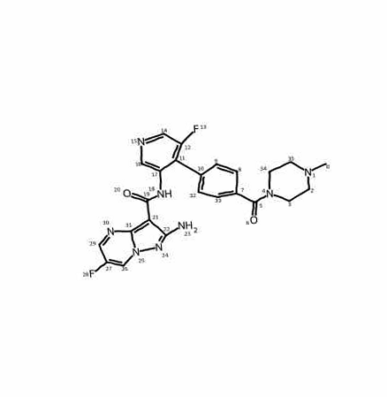 CN1CCN(C(=O)c2ccc(-c3c(F)cncc3NC(=O)c3c(N)nn4cc(F)cnc34)cc2)CC1